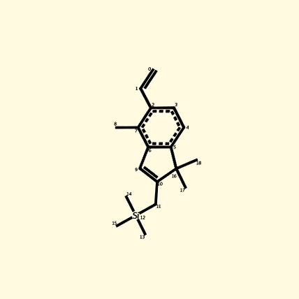 C=Cc1ccc2c(c1C)C=C(C[Si](C)(C)C)C2(C)C